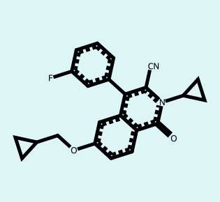 N#Cc1c(-c2cccc(F)c2)c2cc(OCC3CC3)ccc2c(=O)n1C1CC1